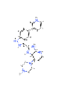 CN1CCN(c2ccnc3[nH]c(-c4n[nH]c5ccc(-c6cccnc6)cc45)nc23)CC1